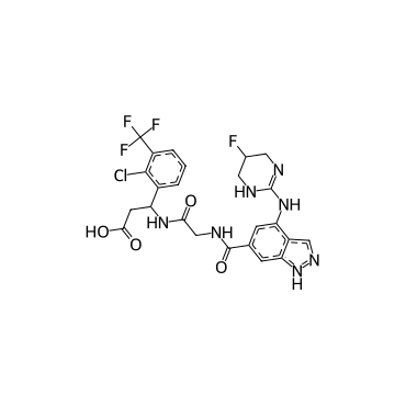 O=C(O)CC(NC(=O)CNC(=O)c1cc(NC2=NCC(F)CN2)c2cn[nH]c2c1)c1cccc(C(F)(F)F)c1Cl